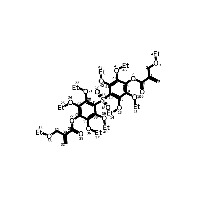 C=C(COCC)C(=O)Oc1c(OCC)c(OCC)c(S(=O)(=O)c2c(OCC)c(OCC)c(OC(=O)C(=C)COCC)c(OCC)c2OCC)c(OCC)c1OCC